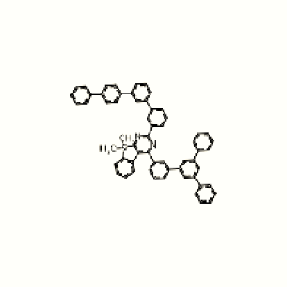 C[Si]1(C)c2ccccc2-c2c(-c3cccc(-c4cc(-c5ccccc5)cc(-c5ccccc5)c4)c3)nc(-c3cccc(-c4cccc(-c5ccc(-c6ccccc6)cc5)c4)c3)nc21